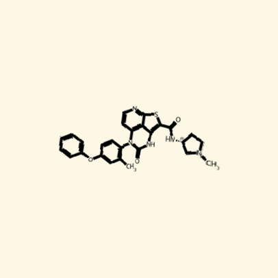 Cc1cc(Oc2ccccc2)ccc1N1C(=O)Nc2c(C(=O)N[C@@H]3CCN(C)C3)sc3nccc1c23